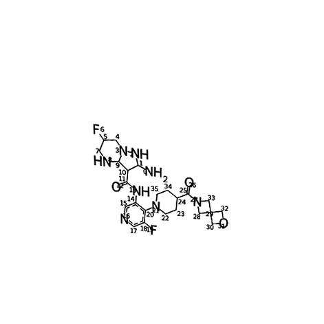 NC1NN2CC(F)CNC2C1C(=O)Nc1cncc(F)c1N1CCC(C(=O)N2CC3(COC3)C2)CC1